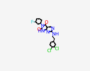 O=c1[nH]c2nc(NCCc3ccc(Cl)c(Cl)c3)ncc2c(=O)n1-c1cccc(F)c1